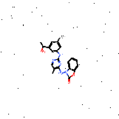 COc1cc(Nc2ncc(C)c(Nn3c(=O)oc4ccccc43)n2)cc(C(C)O)c1